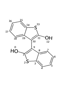 Oc1sc2ccccc2c1-c1c(O)sc2ccccc12